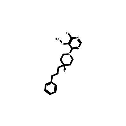 [2H]C1(CCCc2ccccc2)CCN(c2ncnc(Cl)c2OC)CC1